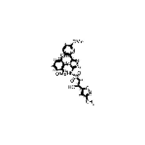 COc1cccc(-c2nnc(NS(=O)(=O)CC(O)c3cc(C)no3)n2-c2c(OC)cccc2OC)n1